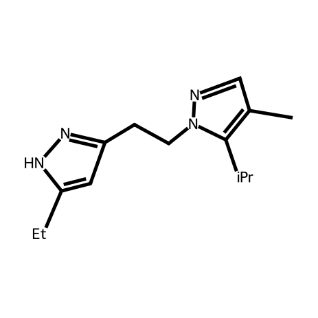 CCc1cc(CCn2ncc(C)c2C(C)C)n[nH]1